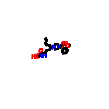 C=C/C=C\C=C(/C/C=C/C(=O)NO)N1CCN([S+]([O-])c2ccccc2OC)CC1